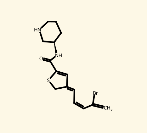 C=C(Br)/C=C\C=C1\C=C(C(=O)N[C@@H]2CCCNC2)SC1